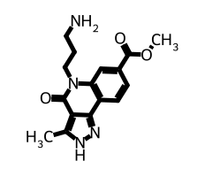 COC(=O)c1ccc2c3n[nH]c(C)c3c(=O)n(CCCN)c2c1